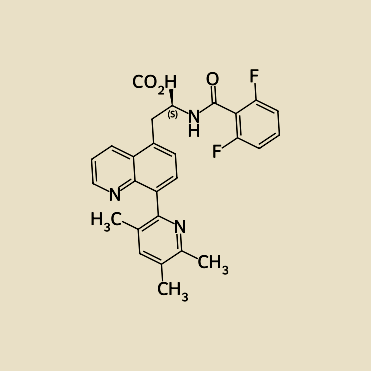 Cc1cc(C)c(-c2ccc(C[C@H](NC(=O)c3c(F)cccc3F)C(=O)O)c3cccnc23)nc1C